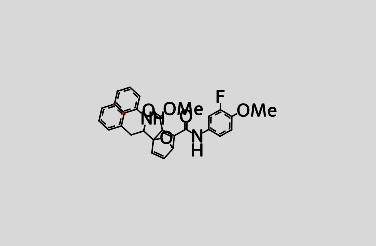 COC(=O)C1=C(C(=O)Nc2ccc(OC)c(F)c2)C2C=CC1(C(Cc1ccccc1)Nc1ccccc1)O2